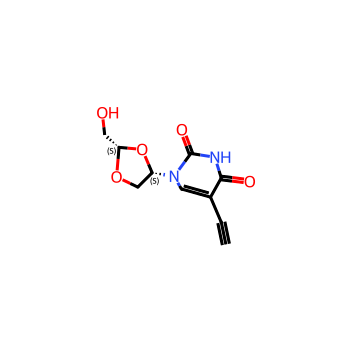 C#Cc1cn([C@@H]2CO[C@H](CO)O2)c(=O)[nH]c1=O